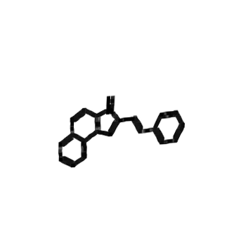 C(=Cc1cc2c(ccc3ccccc32)[nH]1)c1ccccc1